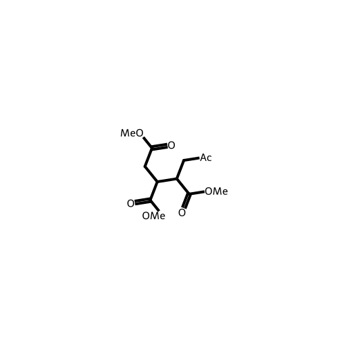 COC(=O)CC(C(=O)OC)C(CC(C)=O)C(=O)OC